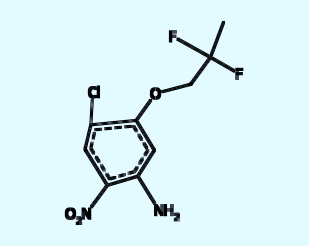 CC(F)(F)COc1cc(N)c([N+](=O)[O-])cc1Cl